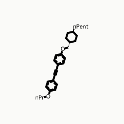 CCCCC[C@H]1CC[C@H](COc2ccc(C#Cc3ccc(OCCC)cc3)cc2)CC1